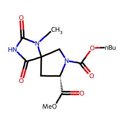 CCCCOC(=O)N1CC2(C[C@H]1C(=O)OC)C(=O)NC(=O)N2C